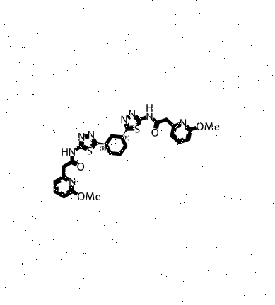 COc1cccc(CC(=O)Nc2nnc([C@@H]3CCC[C@@H](c4nnc(NC(=O)Cc5cccc(OC)n5)s4)C3)s2)n1